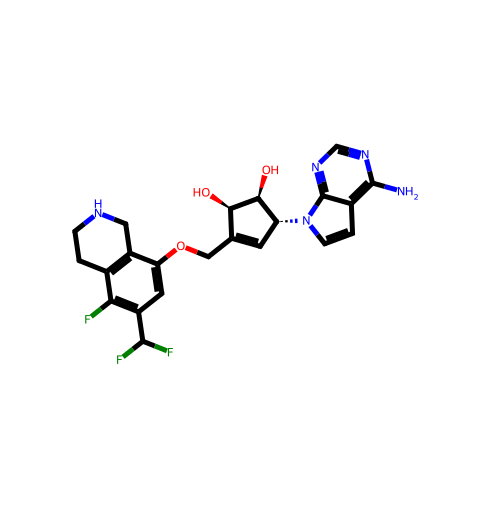 Nc1ncnc2c1ccn2[C@@H]1C=C(COc2cc(C(F)F)c(F)c3c2CNCC3)[C@@H](O)[C@H]1O